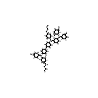 CCCCc1ccc(N(c2ccc(-c3ccc(N(c4ccc(C)cc4)c4ccc(CCCC)cc4C)cc3)cc2)c2cccc(N(c3cccc(C)c3)c3cc(C)ccc3C)c2)cc1